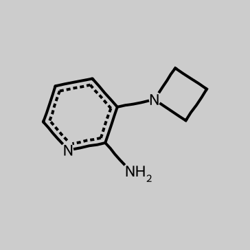 Nc1ncccc1N1CCC1